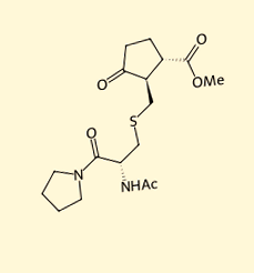 COC(=O)[C@H]1CCC(=O)[C@@H]1CSC[C@H](NC(C)=O)C(=O)N1CCCC1